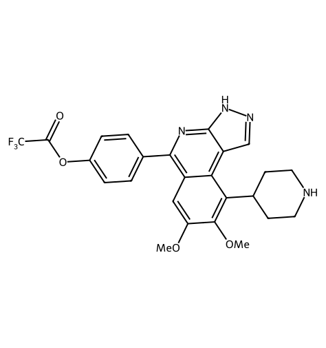 COc1cc2c(-c3ccc(OC(=O)C(F)(F)F)cc3)nc3[nH]ncc3c2c(C2CCNCC2)c1OC